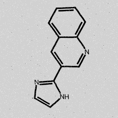 [c]1c[nH]c(-c2cnc3ccccc3c2)n1